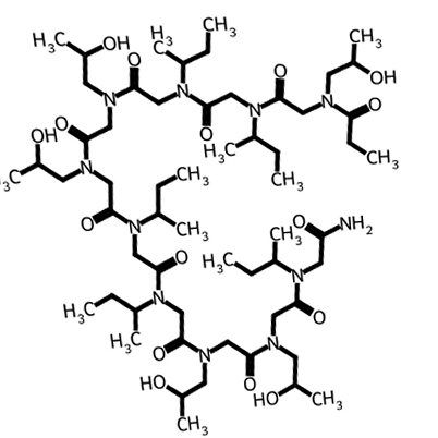 CCC(=O)N(CC(=O)N(CC(=O)N(CC(=O)N(CC(=O)N(CC(=O)N(CC(=O)N(CC(=O)N(CC(=O)N(CC(=O)N(CC(N)=O)C(C)CC)CC(C)O)CC(C)O)C(C)CC)C(C)CC)CC(C)O)CC(C)O)C(C)CC)C(C)CC)CC(C)O